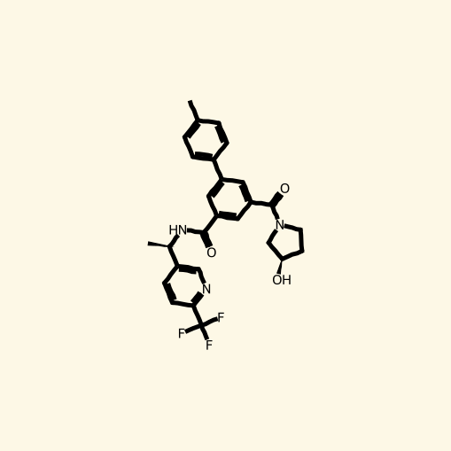 Cc1ccc(-c2cc(C(=O)N[C@H](C)c3ccc(C(F)(F)F)nc3)cc(C(=O)N3CC[C@@H](O)C3)c2)cc1